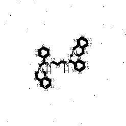 c1ccc(C(CN2CCc3ccccc3C2)NCCCN[C@H](CN2CCc3ccccc3C2)c2ccccc2)cc1